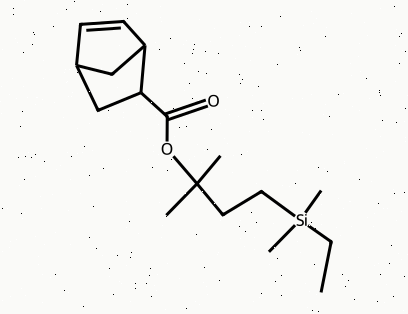 CC[Si](C)(C)CCC(C)(C)OC(=O)C1CC2C=CC1C2